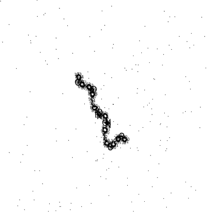 c1cc(-c2nnc(-c3ccc(CCCc4ccc5oc6ccc(-c7ccc8oc9ccccc9c8c7)cc6c5c4)cc3)o2)cc(-c2nnc(-c3ccc(CCCc4ccc5oc6ccc(-c7ccc8oc9ccccc9c8c7)cc6c5c4)cc3)o2)c1